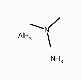 CN(C)C.N.[AlH3]